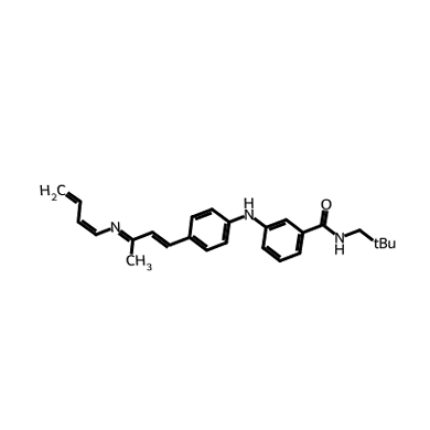 C=C\C=C/N=C(C)/C=C/c1ccc(Nc2cccc(C(=O)NCC(C)(C)C)c2)cc1